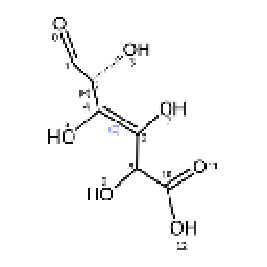 O=C[C@H](O)/C(O)=C(\O)C(O)C(=O)O